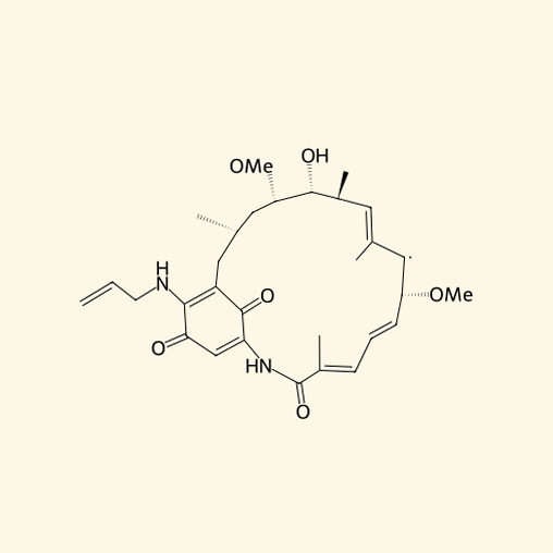 C=CCNC1=C2C[C@H](C)C[C@H](OC)[C@H](O)[C@@H](C)/C=C(\C)[CH][C@H](OC)/C=C/C=C(\C)C(=O)NC(=CC1=O)C2=O